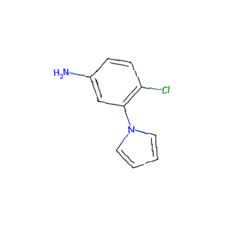 Nc1ccc(Cl)c(-n2cccc2)c1